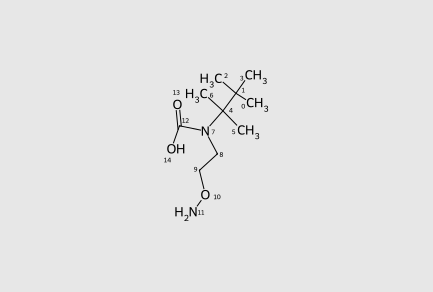 CC(C)(C)C(C)(C)N(CCON)C(=O)O